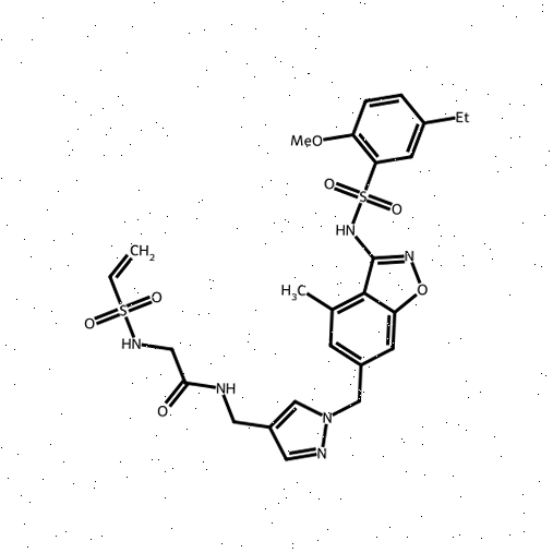 C=CS(=O)(=O)NCC(=O)NCc1cnn(Cc2cc(C)c3c(NS(=O)(=O)c4cc(CC)ccc4OC)noc3c2)c1